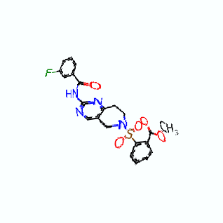 COC(=O)c1ccccc1S(=O)(=O)N1CCc2nc(NC(=O)c3cccc(F)c3)ncc2C1